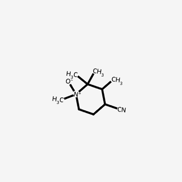 CC1C(C#N)CC[N+](C)([O-])C1(C)C